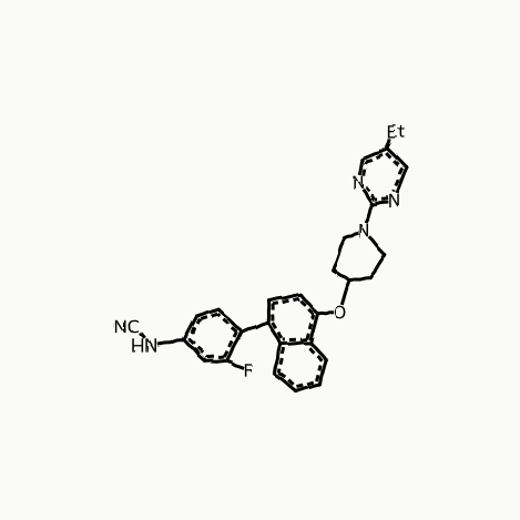 CCc1cnc(N2CCC(Oc3ccc(-c4ccc(NC#N)cc4F)c4ccccc34)CC2)nc1